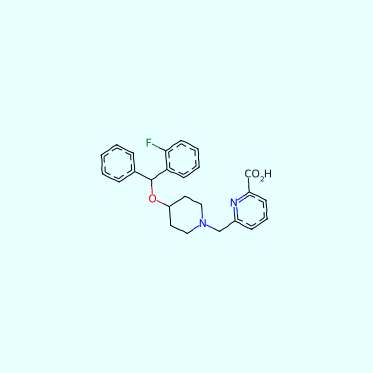 O=C(O)c1cccc(CN2CCC(OC(c3ccccc3)c3ccccc3F)CC2)n1